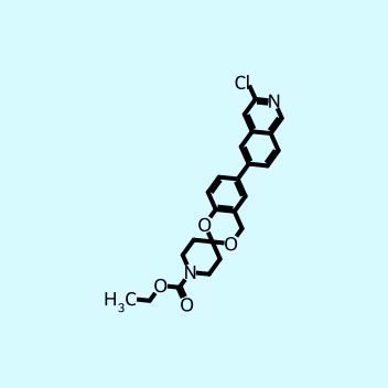 CCOC(=O)N1CCC2(CC1)OCc1cc(-c3ccc4cnc(Cl)cc4c3)ccc1O2